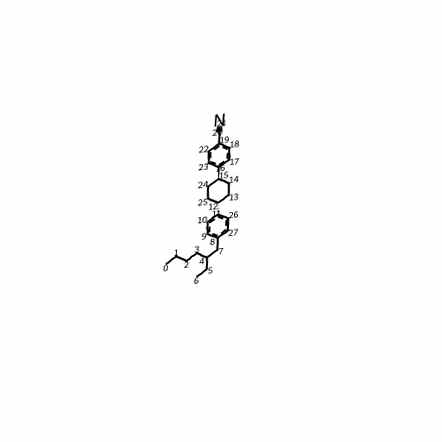 CCCCC(CC)Cc1ccc([C@H]2CC[C@H](c3ccc(C#N)cc3)CC2)cc1